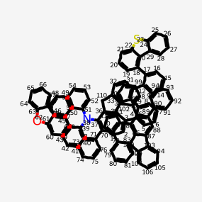 c1ccc(-c2ccccc2-c2c(-c3ccccc3-c3cccc4sc5ccccc5c34)ccc3c2-c2c(c(N(c4ccccc4-c4ccccc4)c4ccccc4-c4cccc5oc6ccccc6c45)c(-c4ccccc4)c(-c4ccccc4)c2-c2c4c(cc(-c5ccccc5)c2-c2ccccc2)-c2ccccc2C4)C3)cc1